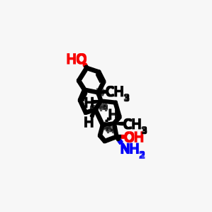 C[C@]12C=CC(O)CC1=CC[C@@H]1[C@H]2CC[C@@]2(C)[C@H]1CCC2(N)O